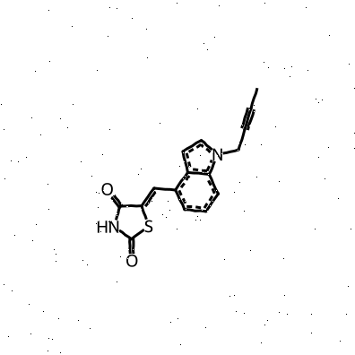 CC#CCn1ccc2c(/C=C3\SC(=O)NC3=O)cccc21